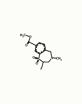 COC(=O)c1ccc2c(c1)S(=O)(=O)C(F)CN(C)C2